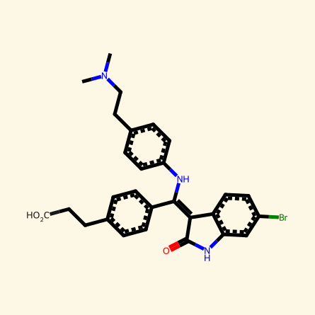 CN(C)CCc1ccc(NC(=C2C(=O)Nc3cc(Br)ccc32)c2ccc(CCC(=O)O)cc2)cc1